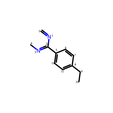 C=N/C(=N\C)c1ccc(CC)cc1